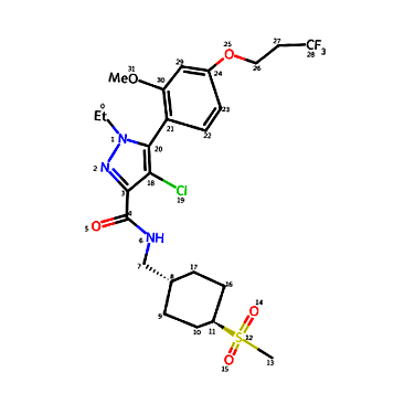 CCn1nc(C(=O)NC[C@H]2CC[C@H](S(C)(=O)=O)CC2)c(Cl)c1-c1ccc(OCCC(F)(F)F)cc1OC